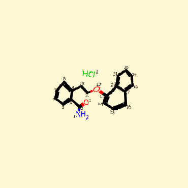 Cl.NC(=O)c1ccccc1CCOc1cccc2ccccc12